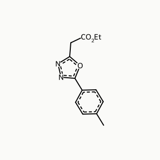 CCOC(=O)Cc1nnc(-c2ccc(C)cc2)o1